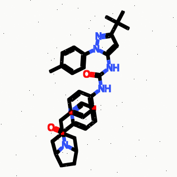 Cc1ccc(-n2nc(C(C)(C)C)cc2NC(=O)Nc2ccc(CC3CC4CCC(C3)N4C(=O)c3ccccn3)cc2)cc1